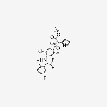 CC(C)(C)OC(=O)N(c1cscn1)S(=O)(=O)c1cc(Cl)c(NC(c2cc(F)ccc2F)C(F)F)cc1F